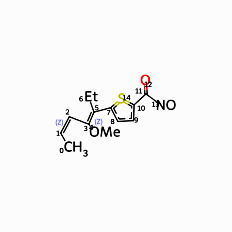 C/C=C\C(OC)=C(/CC)c1ccc(C(=O)N=O)s1